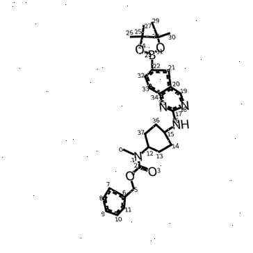 CN(C(=O)OCc1ccccc1)C1CCC(Nc2ncc3cc(B4OC(C)(C)C(C)(C)O4)ccc3n2)CC1